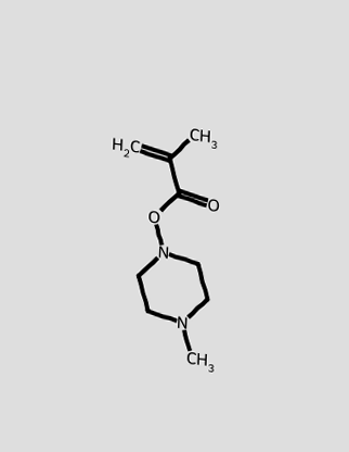 C=C(C)C(=O)ON1CCN(C)CC1